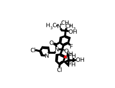 [2H]C([2H])(O)C1(C([2H])([2H])O[C@]2(c3ccc(Cl)cc3)c3c(F)cc(C(C)(O)CN(C)C)cc3C(=O)N2Cc2ccc(Cl)cn2)CC1